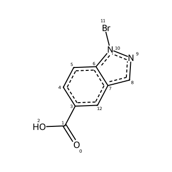 O=C(O)c1ccc2c(cnn2Br)c1